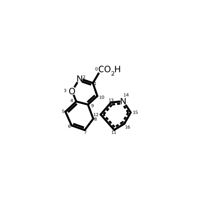 O=C(O)C1=NOC2=CC=CCC2=C1.c1ccncc1